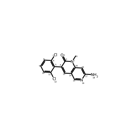 Cn1c(=O)c(-c2c(Cl)cccc2Cl)cc2cnc(N)cc21